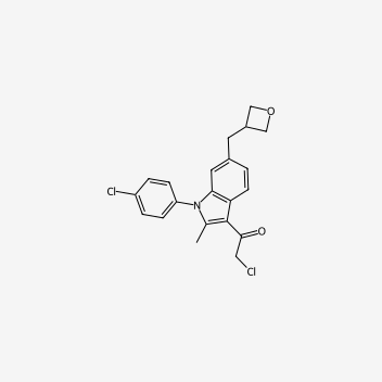 Cc1c(C(=O)CCl)c2ccc(CC3COC3)cc2n1-c1ccc(Cl)cc1